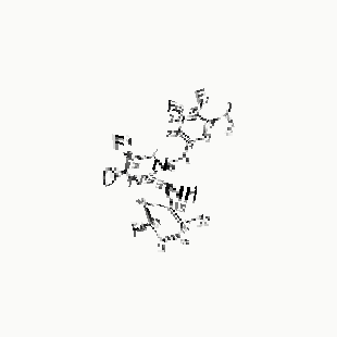 CCc1cc(Cn2cc(F)c(=O)nc2Nc2cc(F)ccc2C)cc(F)c1F